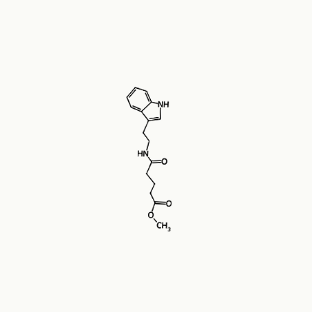 COC(=O)CCCC(=O)NCCc1c[nH]c2ccccc12